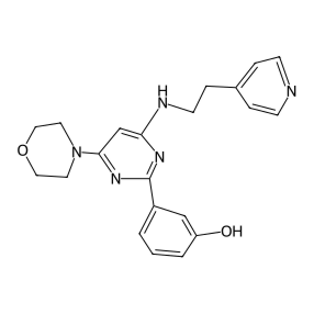 Oc1cccc(-c2nc(NCCc3ccncc3)cc(N3CCOCC3)n2)c1